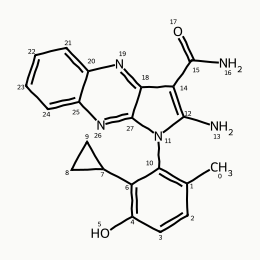 Cc1ccc(O)c(C2CC2)c1-n1c(N)c(C(N)=O)c2nc3ccccc3nc21